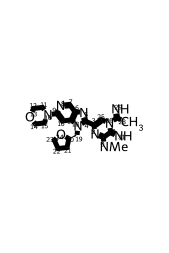 CNc1nc(-c2nc3cnc(N4CCOCC4)cc3n2C[C@@H]2CCCO2)cn(C(C)=N)c1=N